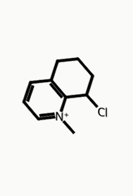 C[n+]1cccc2c1C(Cl)CCC2